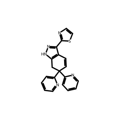 C1=CC(c2ccccn2)(c2ccccn2)Cc2[nH]nc(-c3nccs3)c21